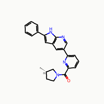 C[C@H]1CCN(C(=O)c2cccc(-c3cnc4[nH]c(-c5ccccc5)cc4c3)n2)C1